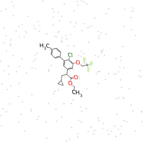 CCOC(=O)C(CC1CC1)c1cc(OCC(F)(F)F)c(Cl)c(-c2ccc(C)cc2)c1